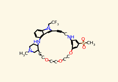 CN1CCC2Nc3cccc4c3cc(n4CC(F)(F)F)C#CCNc3cc(cc(S(C)(=O)=O)c3)OCCOCCOCCC2C1